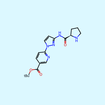 CC(C)(C)OC(=O)c1ccc(-n2ccc(NC(=O)[C@H]3CCCN3)n2)nc1